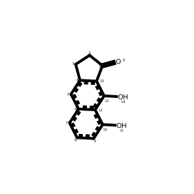 O=C1CCc2cc3cccc(O)c3c(O)c21